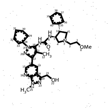 COCCN1C[C@@H](NC(=O)Nc2c(C)c(-c3cnc4c(c3)c(CO)nn4C)nn2-c2ccccc2)[C@H](c2ccccc2)C1